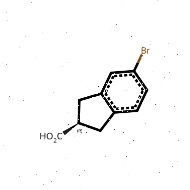 O=C(O)[C@@H]1Cc2ccc(Br)cc2C1